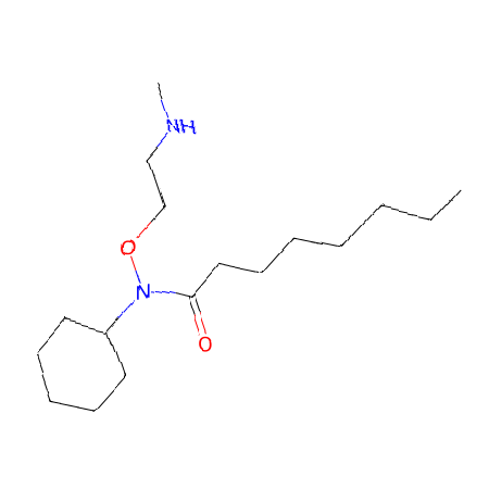 CCCCCCCC(=O)N(OCCNC)C1CCCCC1